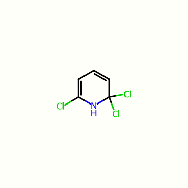 ClC1=CC=CC(Cl)(Cl)N1